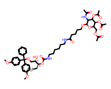 BC[C@H](OC(=O)NCCCCCCNC(=O)CCCCOC1OC(COC(C)=O)C(OC(C)=O)C(OC(C)=O)C1NC(C)=O)[C@@H](O)COC(c1ccccc1)(c1ccc(OC)cc1)c1ccc(OC)cc1